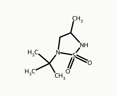 CC1CN(C(C)(C)C)S(=O)(=O)N1